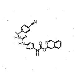 CC(NC(=S)Nc1ccc(NC(=O)Oc2cc3ccccc3cn2)cc1)c1ccc(C#N)cc1